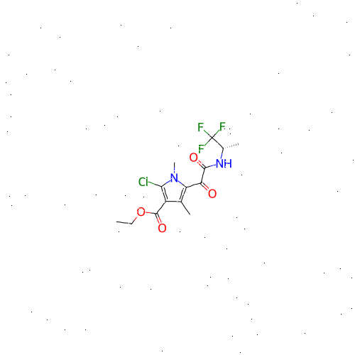 CCOC(=O)c1c(C)c(C(=O)C(=O)N[C@@H](C)C(F)(F)F)n(C)c1Cl